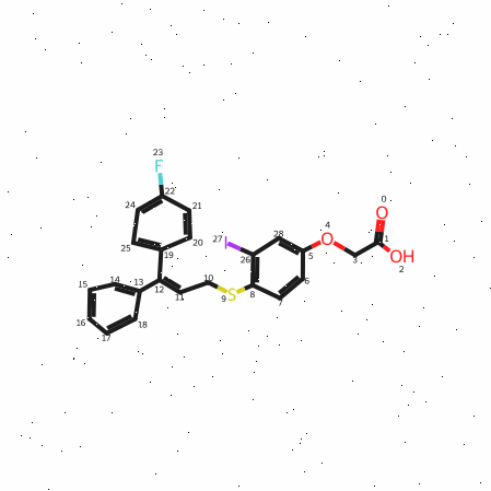 O=C(O)COc1ccc(SCC=C(c2ccccc2)c2ccc(F)cc2)c(I)c1